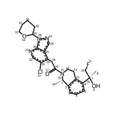 C[C@H]1c2cccc([C@](C)(O)CF)c2CCN1C(=O)Cc1c(Cl)cnc2c1cnn2C1CCCCO1